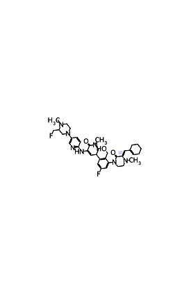 CN1CC(c2cc(F)cc(N3CCN(C)/C(=C\C4=CCCCC4)C3=O)c2CO)C=C(Nc2ccc(N3CCN(C)C(CF)C3)cn2)C1=O